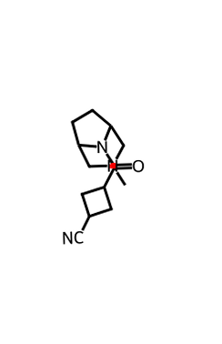 CN1CC2CCC(C1)N2C(=O)C1CC(C#N)C1